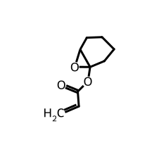 C=CC(=O)OC12CCCCC1O2